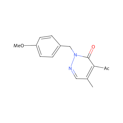 COc1ccc(Cn2ncc(C)c(C(C)=O)c2=O)cc1